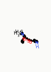 CCN(CC)c1ccc(/C=C/C(=O)CC(=O)/C=C/c2ccc3cc[nH]c3c2)c(OCc2ccccc2)c1